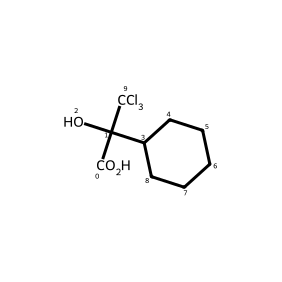 O=C(O)C(O)(C1CCCCC1)C(Cl)(Cl)Cl